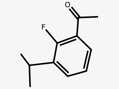 CC(=O)c1cccc(C(C)C)c1F